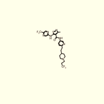 Cc1nsc(Nc2cnc(C(F)(F)F)cn2)c1C(=O)Nc1ccc(CCC2CCN(CCC(F)(F)F)CC2)nc1